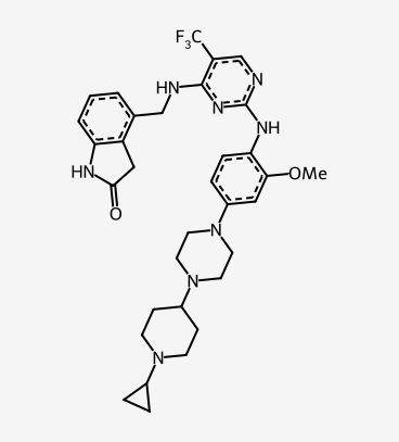 COc1cc(N2CCN(C3CCN(C4CC4)CC3)CC2)ccc1Nc1ncc(C(F)(F)F)c(NCc2cccc3c2CC(=O)N3)n1